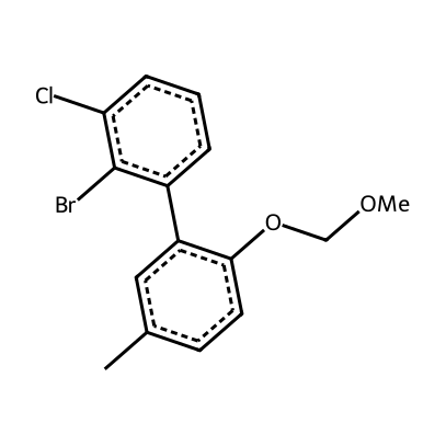 COCOc1ccc(C)cc1-c1cccc(Cl)c1Br